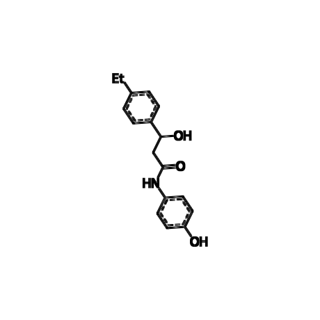 CCc1ccc(C(O)CC(=O)Nc2ccc(O)cc2)cc1